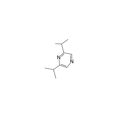 CC(C)c1cncc(C(C)C)n1